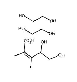 CC(C(=O)O)=C(C)C(O)CO.OCCO.OCCO